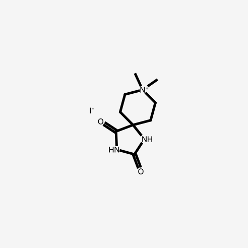 C[N+]1(C)CCC2(CC1)NC(=O)NC2=O.[I-]